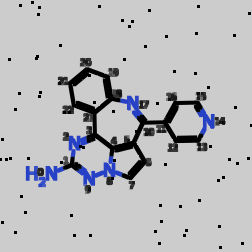 Nc1nc2c3c(ccn3n1)C(c1ccncc1)=Nc1ccccc1-2